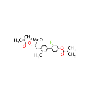 C=C(C)C(=O)OCC(COC)Cc1ccc(-c2ccc(OC(=O)C(=C)C)cc2F)cc1C